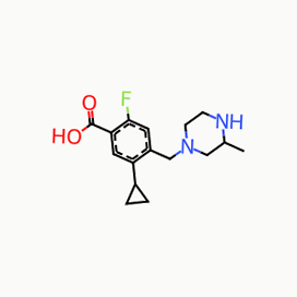 CC1CN(Cc2cc(F)c(C(=O)O)cc2C2CC2)CCN1